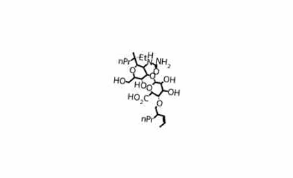 C/C=C\C(CCC)CO[C@@H]1C(C(=O)O)O[C@@H](OC2C(NC(N)=O)[C@H]([C@@](C)(CC)CCC)OC(CO)[C@H]2O)C(O)C1O